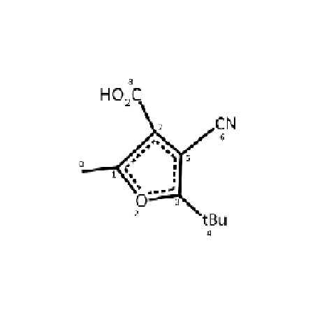 Cc1oc(C(C)(C)C)c(C#N)c1C(=O)O